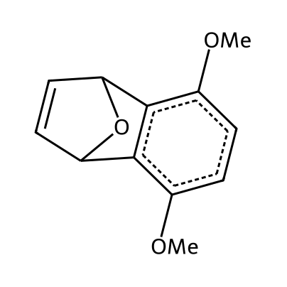 COc1ccc(OC)c2c1C1C=CC2O1